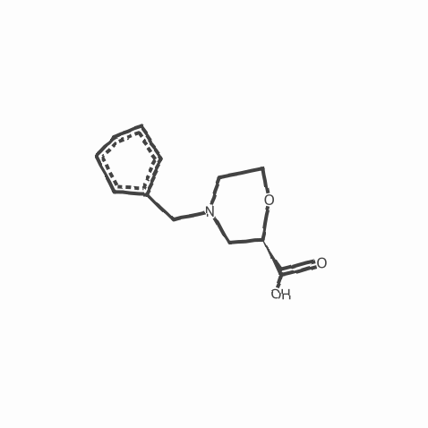 O=C(O)[C@H]1CN(Cc2ccccc2)CCO1